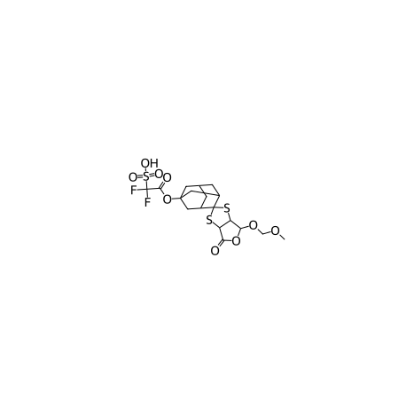 COCOC1OC(=O)C2SC3(SC12)C1CC2CC3CC(OC(=O)C(F)(F)S(=O)(=O)O)(C2)C1